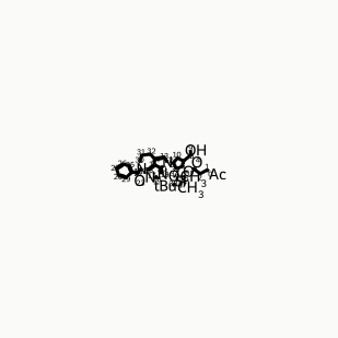 CC(=O)CCC(=O)OC1C(CO)CC(n2cc3c4c(ncnc42)N(C(=O)c2ccccc2)CCC3)C1O[Si](C)(C)C(C)(C)C